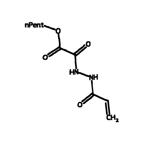 C=CC(=O)NNC(=O)C(=O)OCCCCC